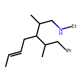 CC=CCC(C(C)CNCC)C(C)CC(C)C